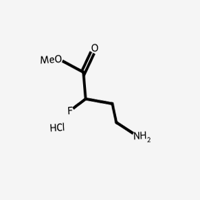 COC(=O)C(F)CCN.Cl